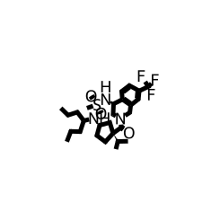 CCCC(CCC)N[C@@H]1CC[C@@](C(=O)N2Cc3cc(C(F)(F)F)ccc3[C@H](NS(C)(=O)=O)C2)(C(C)C)C1